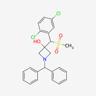 CS(=O)(=O)C(c1cc(Cl)ccc1Cl)C1(O)CN(C(c2ccccc2)c2ccccc2)C1